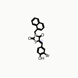 O=C1S/C(=C\c2ccc(O)c(Br)c2)C(=O)N1Cc1cccc2ccccc12